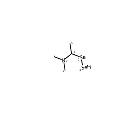 CC([Se][SeH])N(C)C